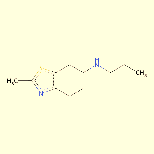 CCCNC1CCc2nc(C)sc2C1